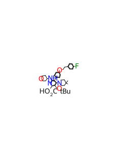 Cc1nc(NC2CCOCC2)c(-c2ccc(OCCc3ccc(F)cc3)cc2)c(N2CCC(C)(C)CC2)c1[C@H](OC(C)(C)C)C(=O)O